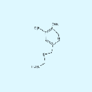 COc1ccc(CSCC(=O)O)cc1[N+](=O)[O-]